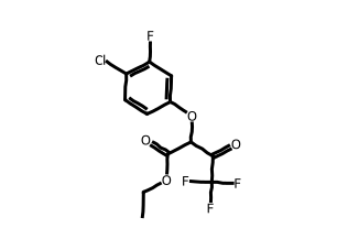 CCOC(=O)C(Oc1ccc(Cl)c(F)c1)C(=O)C(F)(F)F